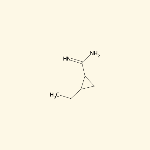 CCC1CC1C(=N)N